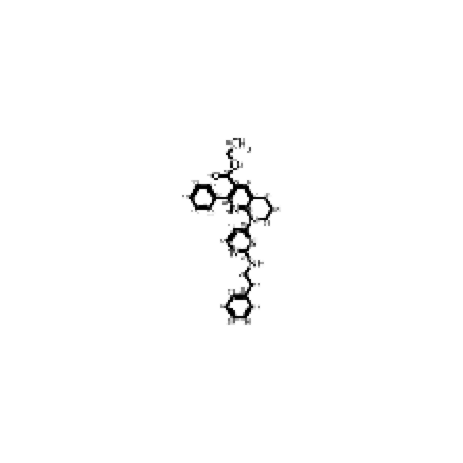 CCOC(=O)c1cc2c(nc1-c1ccccc1)N(c1ccnc(NCCc3ccccc3)n1)CCC2